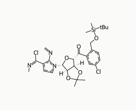 C=Nc1c(/C(Cl)=N\C)ccn1[C@@H]1O[C@H](C(=O)c2cc(Cl)ccc2CO[Si](C)(C)C(C)(C)C)[C@H]2OC(C)(C)O[C@H]21